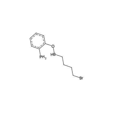 Pc1ccccc1OBCCCCBr